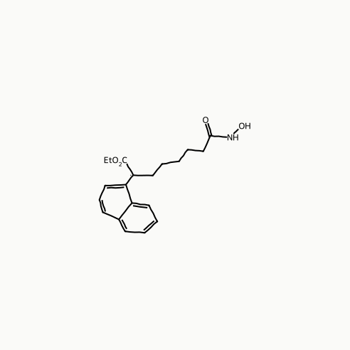 CCOC(=O)[C](CCCCCC(=O)NO)c1cccc2ccccc12